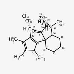 CC1=C(C)C(C)C(C2(C(=O)[NH][Zr+2])CCCCC2[SiH](C)C)=C1C.[Cl-].[Cl-]